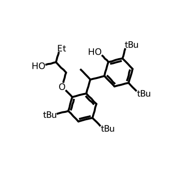 CCC(O)COc1c(C(C)c2cc(C(C)(C)C)cc(C(C)(C)C)c2O)cc(C(C)(C)C)cc1C(C)(C)C